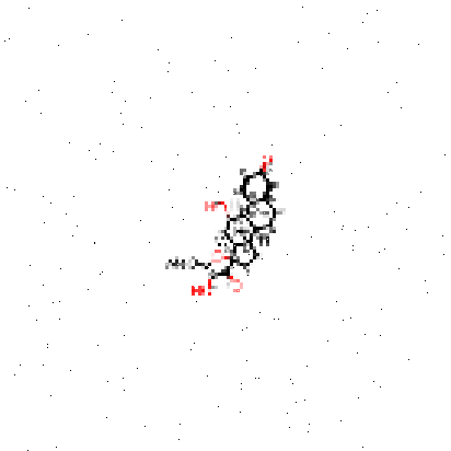 COCO[C@]1(C(=O)CO)CC[C@H]2[C@@H]3CCC4=CC(=O)C=C[C@]4(C)[C@H]3C(O)C[C@@]21C